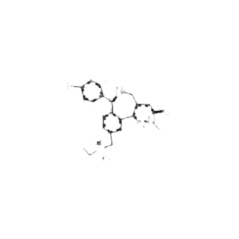 CCS(=O)(=O)Cc1ccc2c(c1)-c1nn(C)c(=O)cc1CN=C2c1ccc(F)cc1